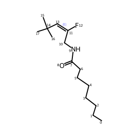 CCCCCCCC(=O)NC/C(F)=C\C(C)(C)C